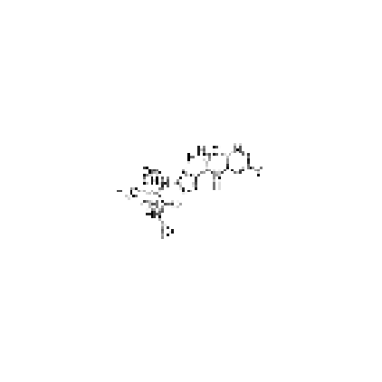 Cc1ncc(Cl)cc1N[C@@H](C)c1ccc(N(C=O)[C@@H](C(=O)NC2CC2)C(C)(C)C)s1